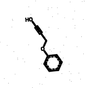 OC#CCOc1ccccc1